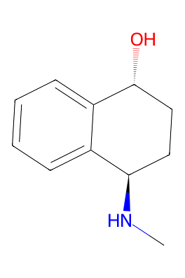 CN[C@@H]1CC[C@@H](O)c2ccccc21